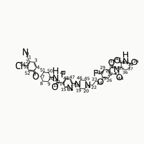 N#Cc1ccc(O[C@H]2CC[C@H](NC(=O)c3cnc(N4CCN(CCOc5cc6c(cc5F)C(=O)N(C5CCC(=O)NC5=O)C6=O)CC4)cc3F)CC2)cc1Cl